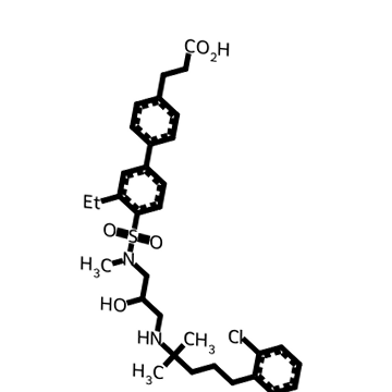 CCc1cc(-c2ccc(CCC(=O)O)cc2)ccc1S(=O)(=O)N(C)CC(O)CNC(C)(C)CCCc1ccccc1Cl